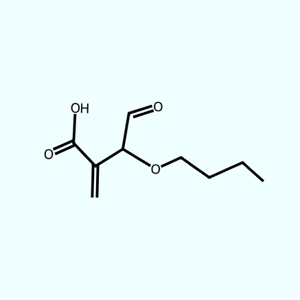 C=C(C(=O)O)C(C=O)OCCCC